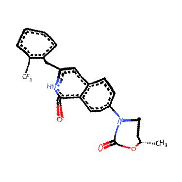 C[C@H]1CN(c2ccc3cc(-c4ccccc4C(F)(F)F)[nH]c(=O)c3c2)C(=O)O1